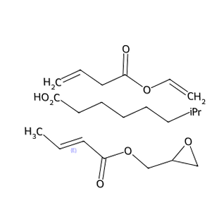 C/C=C/C(=O)OCC1CO1.C=CCC(=O)OC=C.CC(C)CCCCCC(=O)O